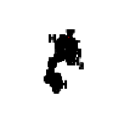 COc1cc(N2CCC(CN3CCN(c4ccc5c(c4)C(=O)N(C4CCC(=O)NC4=O)C5=O)CC3)CC2)c(-c2cnn(C)c2)cc1Nc1ncc(Br)c(Nc2ccc(C3CC3)cc2P(C)(C)=O)n1